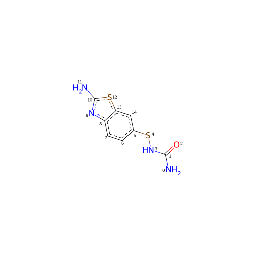 NC(=O)NSc1ccc2nc(N)sc2c1